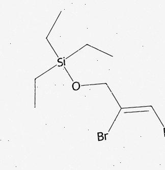 CC[Si](CC)(CC)OCC(Br)=CBr